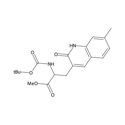 COC(=O)C(Cc1cc2ccc(C)cc2[nH]c1=O)NC(=O)OC(C)(C)C